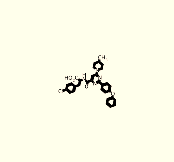 CC1CCN(c2cc(C(=O)NC(Cc3ccc(Cl)cc3)C(=O)O)nc(-c3ccc(Oc4ccccc4)cc3)n2)CC1